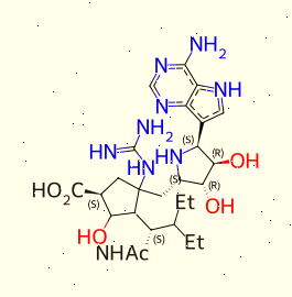 CCC(CC)[C@H](NC(C)=O)C1C(O)[C@@H](C(=O)O)CC1(C[C@@H]1N[C@@H](c2c[nH]c3c(N)ncnc23)[C@@H](O)[C@@H]1O)NC(=N)N